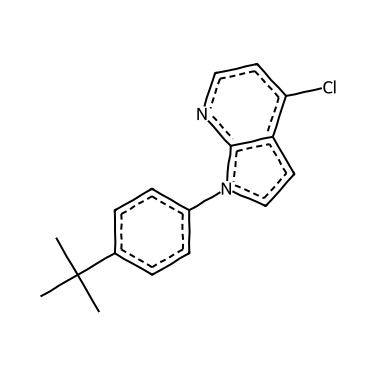 CC(C)(C)c1ccc(-n2ccc3c(Cl)ccnc32)cc1